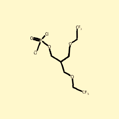 O=P(Cl)(Cl)OCC(COCC(F)(F)F)COCC(F)(F)F